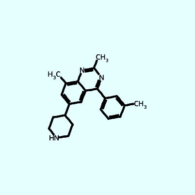 Cc1cccc(-c2nc(C)nc3c(C)cc(C4CCNCC4)cc23)c1